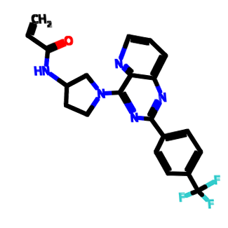 C=CC(=O)NC1CCN(c2nc(-c3ccc(C(F)(F)F)cc3)nc3cccnc23)C1